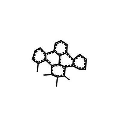 Cc1c(C)c2c3ccccc3c3cccc4c5cccc(C)c5c(c1C)c2c34